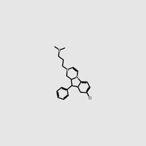 CN(C)CCCN1C=CN2C3=CC=C(Cl)CC3C(c3ccccc3)C2C1